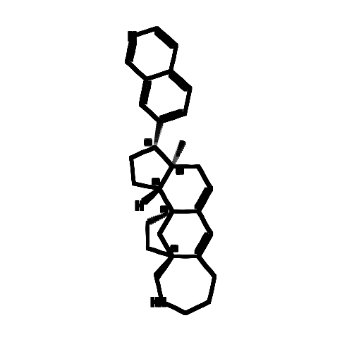 C[C@]12CC=C3C=C4CCCNC[C@]45CC[C@]3(C5)[C@@H]1CC[C@@H]2c1ccc2ccncc2c1